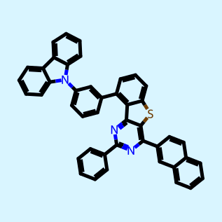 c1ccc(-c2nc(-c3ccc4ccccc4c3)c3sc4cccc(-c5cccc(-n6c7ccccc7c7ccccc76)c5)c4c3n2)cc1